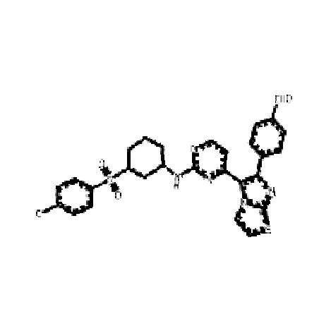 O=Cc1ccc(-c2nc3sccn3c2-c2ccnc(N[C@@H]3CCCC(S(=O)(=O)c4ccc(Cl)cc4)C3)n2)cc1